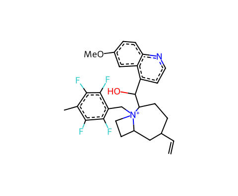 C=CC1CCC(C(O)c2ccnc3ccc(OC)cc23)[N+]2(Cc3c(F)c(F)c(C)c(F)c3F)CCC2C1